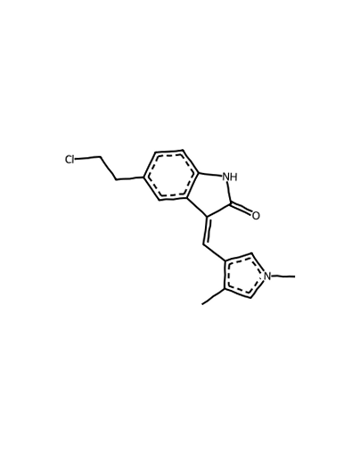 Cc1cn(C)cc1C=C1C(=O)Nc2ccc(CCCl)cc21